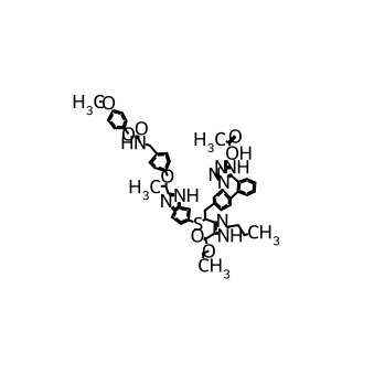 CC(=O)O.CCCc1nc(C(Cc2ccc(-c3ccccc3-c3nnn[nH]3)cc2)Sc2ccc3nc(C(C)Oc4ccc(CNC(=O)Oc5ccc(OC)cc5)cc4)[nH]c3c2)c(C(=O)OCC)[nH]1